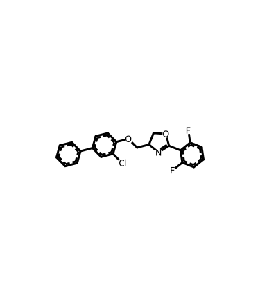 Fc1cccc(F)c1C1=NC(COc2ccc(-c3ccccc3)cc2Cl)CO1